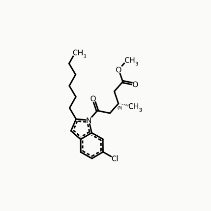 CCCCCCc1cc2ccc(Cl)cc2n1C(=O)C[C@@H](C)CC(=O)OC